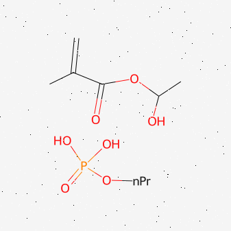 C=C(C)C(=O)OC(C)O.CCCOP(=O)(O)O